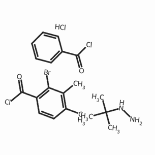 CC(C)(C)NN.Cc1ccc(C(=O)Cl)c(Br)c1C.Cl.O=C(Cl)c1ccccc1